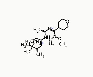 C=C(/N=C(/C1CCOCC1)N(C)OC)N/C(=C/C(=C)C(C)(C)C)CC